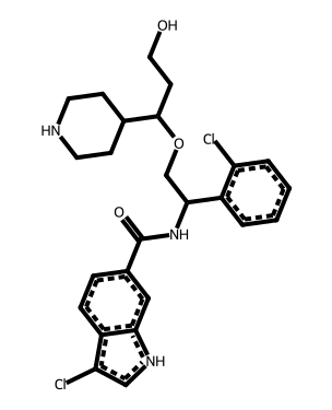 O=C(NC(COC(CCO)C1CCNCC1)c1ccccc1Cl)c1ccc2c(Cl)c[nH]c2c1